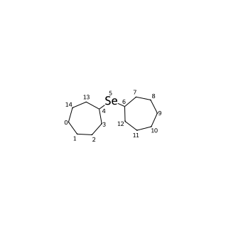 C1CCCC([Se]C2CCCCCC2)CC1